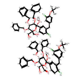 [2H]C([2H])([2H])Oc1ccc(Cc2cc([C@]3(OC)OC(CO)(CO)[C@@H](OCc4ccccc4)[C@H](OCc4ccccc4)[C@H]3OCc3ccccc3)ccc2Cl)cc1F.[2H]C([2H])([2H])Oc1ccc(Cc2cc([C@]3(OC)O[C@@](C=O)(CO)[C@@H](OCc4ccccc4)[C@H](OCc4ccccc4)[C@H]3OCc3ccccc3)ccc2Cl)cc1F